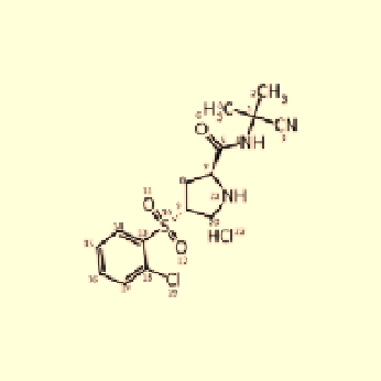 CC(C)(C#N)NC(=O)[C@@H]1C[C@@H](S(=O)(=O)c2ccccc2Cl)CN1.Cl